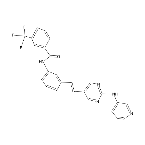 O=C(Nc1cccc(C=Cc2cnc(Nc3cccnc3)nc2)c1)c1cccc(C(F)(F)F)c1